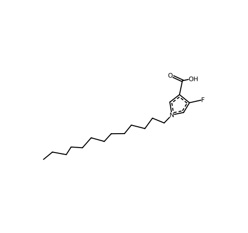 CCCCCCCCCCCCCn1cc(F)c(C(=O)O)c1